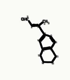 CC(=CC=O)c1ccc2c(c1)CCCC2